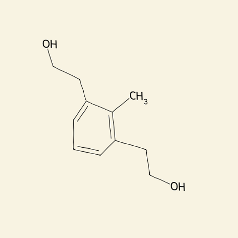 Cc1c(CCO)cccc1CCO